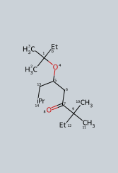 CCC(C)(C)OC(CC(=O)C(C)(C)CC)CC(C)C